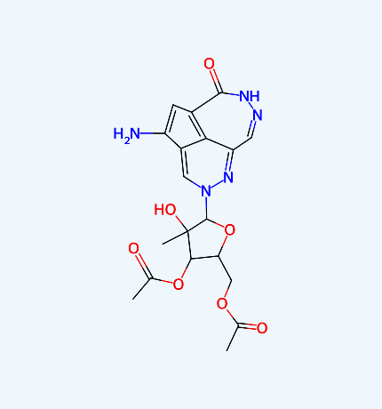 CC(=O)OCC1OC(n2cc3c(N)cc4c(=O)[nH]ncc(n2)c34)C(C)(O)C1OC(C)=O